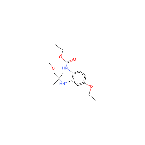 CCOC(=O)Nc1ccc(OCC)cc1NC(C)(C)COC